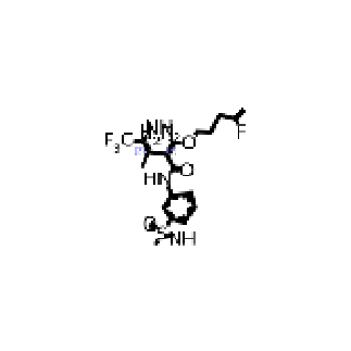 C=C(F)CCCO/C(N)=C(C(=O)Nc1cccc(S(C)(=N)=O)c1)/C(C)=C(\N)C(F)(F)F